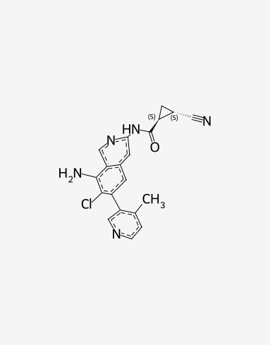 Cc1ccncc1-c1cc2cc(NC(=O)[C@H]3C[C@@H]3C#N)ncc2c(N)c1Cl